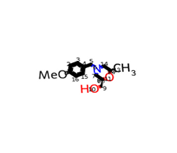 COc1ccc(CN2C[C@H](CO)O[C@H](C)C2)cc1